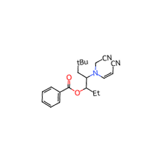 CCC(OC(=O)c1ccccc1)C(CC(C)(C)C)N(/C=C\C#N)CC#N